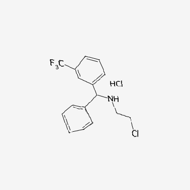 Cl.FC(F)(F)c1cccc(C(NCCCl)c2ccccc2)c1